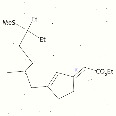 CCOC(=O)/C=C1/C=C(CC(C)CCC(CC)(CC)SC)CC1